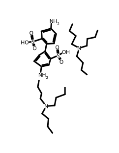 CCCCN(CCCC)CCCC.CCCCN(CCCC)CCCC.Nc1ccc(-c2ccc(N)cc2S(=O)(=O)O)c(S(=O)(=O)O)c1